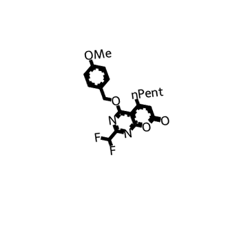 CCCCCc1cc(=O)oc2nc(C(F)F)nc(OCc3ccc(OC)cc3)c12